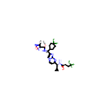 Cc1nonc1C(=O)N[C@H](c1cn2ccc([C@H](NC(=O)CCC(F)(F)F)C3CC3)nc2n1)C1CCC(F)(F)CC1